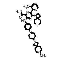 Cc1cccnc1-c1nc(C(N)=O)c(Nc2ccc(N3CCC(N4CC5(CCN(C)CC5)C4)CC3)cc2)nc1N1CCC12CCOCC2